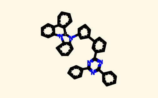 c1ccc(-c2nc(-c3ccccc3)nc(-c3cccc(-c4cccc(N5B6c7ccccc7-c7ccccc7N6c6ccccc65)c4)c3)n2)cc1